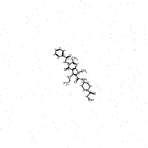 Cc1nc2c(c(OCC(F)(F)F)c(C(=O)NC3CCN(C(=O)CO)CC3)n2C)c(=O)n1CC(=O)c1ccccc1